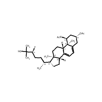 CC(=O)O[C@@H]1CC2=CC=C3[C@@H]4CC[C@H]([C@H](C)CC[C@H](F)C(C)(C)O)[C@@]4(C)CC[C@@H]3[C@@]2(C)[C@@H](OC(C)=O)C1